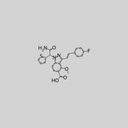 COc1c(C(=O)O)ccc2c1c(C=Cc1ccc(F)cc1)nn2C(C(N)=O)c1cccs1